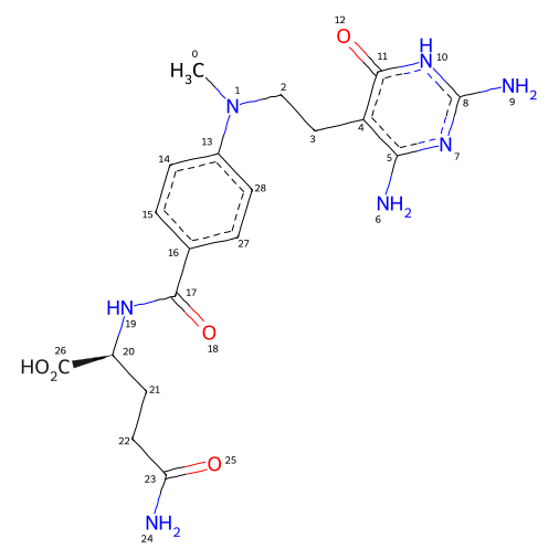 CN(CCc1c(N)nc(N)[nH]c1=O)c1ccc(C(=O)N[C@@H](CCC(N)=O)C(=O)O)cc1